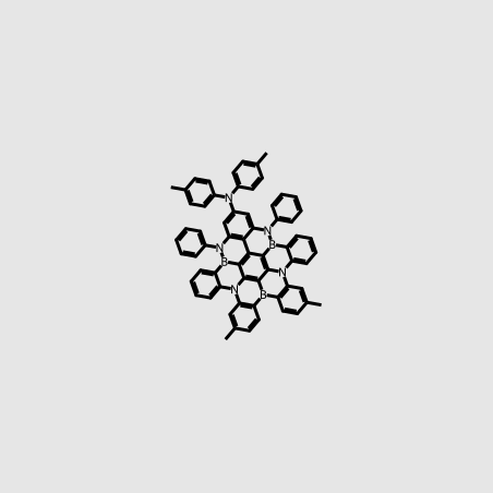 Cc1ccc(N(c2ccc(C)cc2)c2cc3c4c(c2)N(c2ccccc2)B2c5ccccc5N5c6cc(C)ccc6B6c7ccc(C)cc7N7c8ccccc8B(c8c-4c2c5c6c87)N3c2ccccc2)cc1